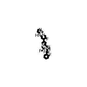 Cn1nccc1Nc1cc(-c2cc3n(c2)C[C@H](CF)n2c-3nnc2C(F)(F)c2ccccc2F)c(F)cn1